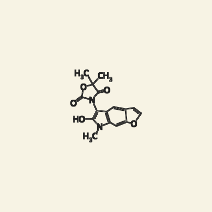 Cn1c(O)c(N2C(=O)OC(C)(C)C2=O)c2cc3ccoc3cc21